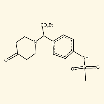 CCOC(=O)C(c1ccc(NS(C)(=O)=O)cc1)N1CCC(=O)CC1